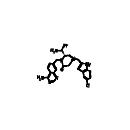 CC(C)C(N)[C@@H]1CN(Cc2cc3cc(Cl)ccc3[nH]2)CC(=O)N1Cc1ccc2c(N)ncnc2c1